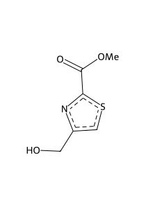 COC(=O)c1nc(CO)cs1